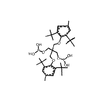 Cc1cc(C(C)(C)C)c(OCC(COc2c(C(C)(C)C)cc(C)cc2C(C)(C)C)(COP(O)O)COP(O)O)c(C(C)(C)C)c1